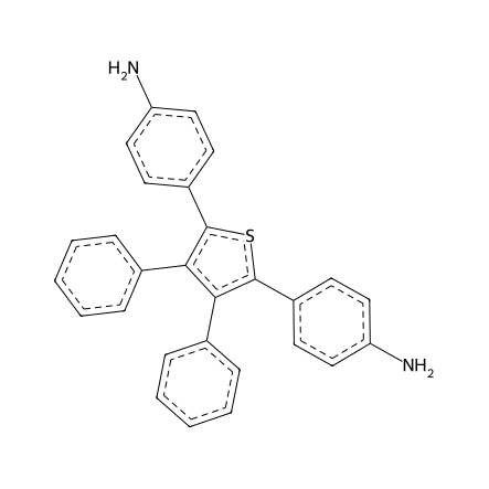 Nc1ccc(-c2sc(-c3ccc(N)cc3)c(-c3ccccc3)c2-c2ccccc2)cc1